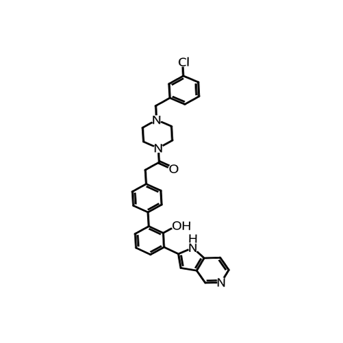 O=C(Cc1ccc(-c2cccc(-c3cc4cnccc4[nH]3)c2O)cc1)N1CCN(Cc2cccc(Cl)c2)CC1